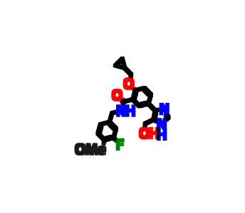 COc1ccc(CNC(=O)c2cc(-c3nc[nH]c3CO)ccc2OCC2CC2)cc1F